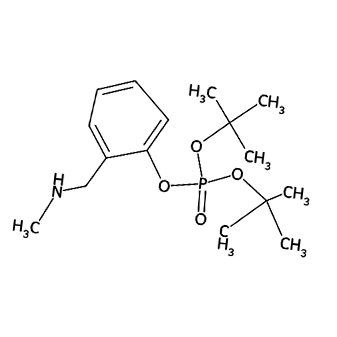 CNCc1ccccc1OP(=O)(OC(C)(C)C)OC(C)(C)C